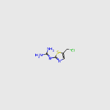 NC(N)=Nc1ncc(CCl)s1